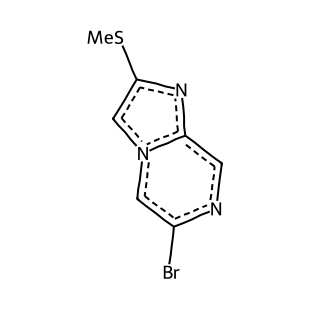 CSc1cn2cc(Br)ncc2n1